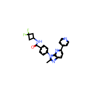 Cc1nc2ccc(-c3ccncc3)nc2n1-c1ccc(C(=O)NC2CC(F)(F)C2)cc1